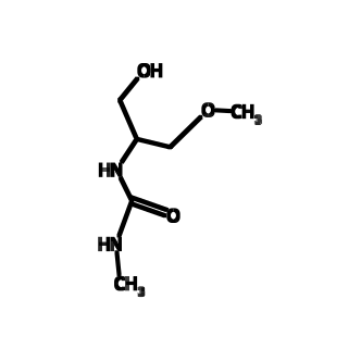 CNC(=O)NC(CO)COC